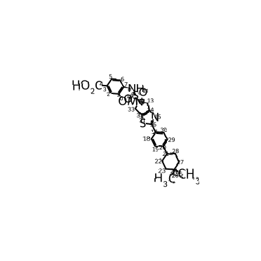 COc1cc(C(=O)O)ccc1NS(=O)(=O)N1Cc2nc(-c3ccc(C4CCC(C)(C)CC4)cc3)sc2C1